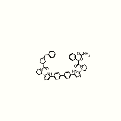 NC(=O)O[C@@H](C(=O)N1CCC[C@H]1c1ncc(-c2ccc(-c3ccc(-c4cnc([C@@H]5CCCN5C(=O)[C@H]5CCN(Cc6ccccc6)C5)[nH]4)cc3)cc2)[nH]1)c1ccccc1